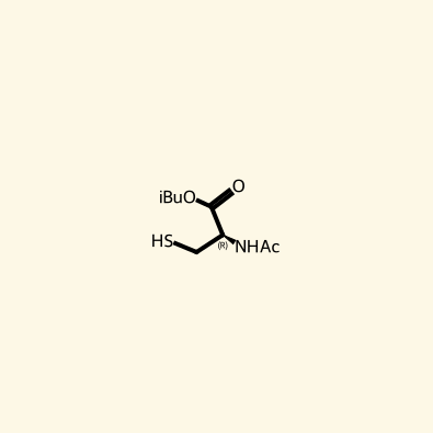 CC(=O)N[C@@H](CS)C(=O)OCC(C)C